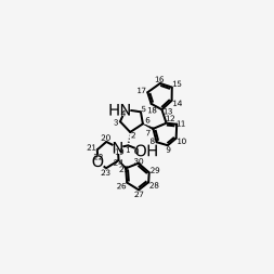 OC([C@@H]1CNC[C@H]1c1ccccc1-c1ccccc1)N1CCOC[C@@H]1c1ccccc1